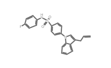 C=CCc1cn(-c2ccc(S(=O)(=O)Nc3ccc(F)cc3)cc2)c2ccccc12